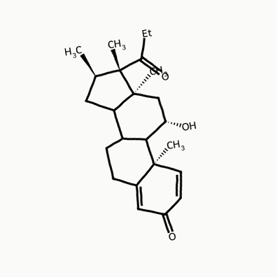 CCC(=O)[C@@]1(C)[C@H](C)CC2C3CCC4=CC(=O)C=C[C@]4(C)C3[C@@H](O)C[C@@]21C